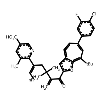 C=C(C(=O)c1cc2c(o1)=C(C(C)(C)C)C=C(c1ccc(Cl)c(F)c1)C=C=2)C(C)(C)C/C(=C\CCC)c1ncc(C(=O)O)cc1C